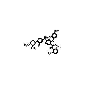 CCCc1ccc(Oc2nc(Nc3ccc(N4CCN(C)C(C)C4)c(F)c3)ncc2C(=O)Nc2c(C)cccc2C)c(OC)c1